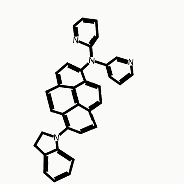 c1ccc(N(c2cccnc2)c2ccc3ccc4c(N5CCc6ccccc65)ccc5ccc2c3c54)nc1